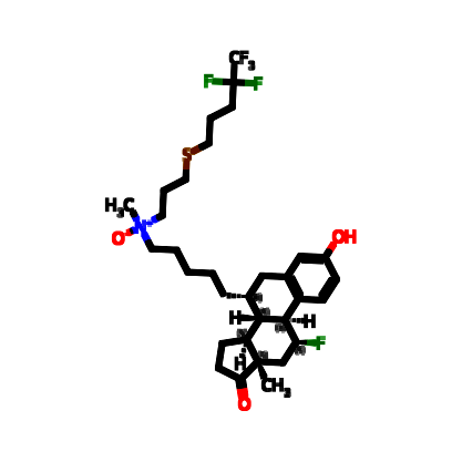 C[C@]12C[C@H](F)[C@@H]3c4ccc(O)cc4C[C@@H](CCCCC[N+](C)([O-])CCCSCCCC(F)(F)C(F)(F)F)[C@H]3[C@@H]1CCC2=O